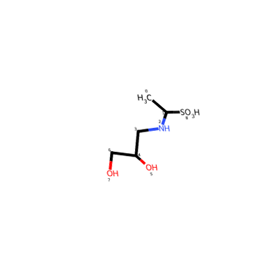 CC(NCC(O)CO)S(=O)(=O)O